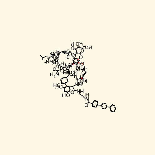 CN[C@H](CC(C)C)C(=O)N[C@H]1C(=O)N[C@@H](CC(N)=O)C(=O)NC2C(=O)N[C@H]3C(=O)N[C@H](C(=O)NC(C(=O)NCCCNC(=O)c4ccc(-c5ccc(-c6ccccc6)cc5)cc4)c4cc(O)cc(O)c4-c4cc3ccc4O)[C@H](O)c3ccc(c(Cl)c3)Oc3cc2cc(c3O[C@@H]2O[C@H](CO)[C@@H](O)[C@H](O)[C@H]2OC2C[C@](C)(N)[C@H](O)[C@H](C)O2)Oc2ccc(cc2Cl)[C@H]1O